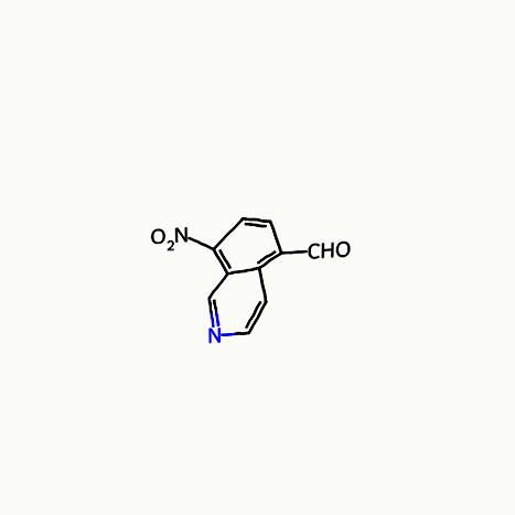 O=Cc1ccc([N+](=O)[O-])c2cnccc12